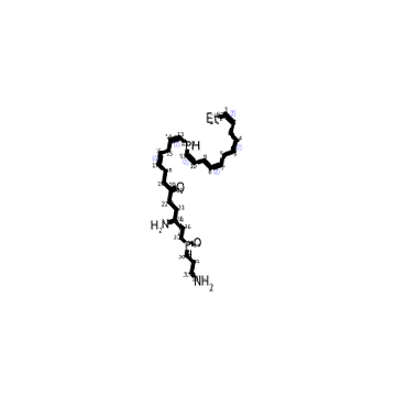 CC/C=C\C/C=C\C/C=C\C/C=C\P/C=C\C/C=C\CCC(=O)CCC(N)CC[PH](=O)CCCN